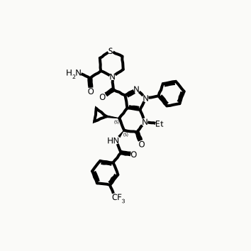 CCN1C(=O)[C@@H](NC(=O)c2cccc(C(F)(F)F)c2)[C@@H](C2CC2)c2c(C(=O)N3CCSCC3C(N)=O)nn(-c3ccccc3)c21